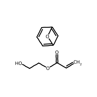 C=CC(=O)OCCO.c1cc2cc(c1)O2